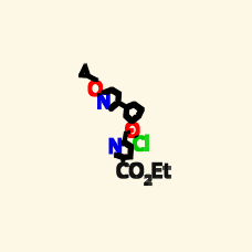 CCOC(=O)c1cnc(COc2cccc(-c3ccc(OCC4CC4)nc3)c2)c(Cl)c1